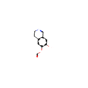 O=COc1cc2c(cc1O)C=NCC2